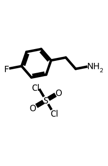 NCCc1ccc(F)cc1.O=S(=O)(Cl)Cl